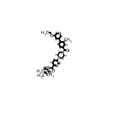 CCOc1cncc(-c2ccc(C(=O)N3CCN(c4ccc(C(=O)NS(=O)(=O)C(C)(C)C)nn4)CC3)cc2C)c1